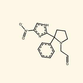 O=CCN1CCCC1(c1ccccc1)c1nc([N+](=O)[O-])c[nH]1